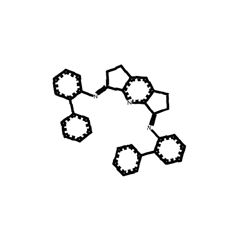 c1ccc(-c2ccccc2/N=C2\CCc3cc4c(nc32)/C(=N/c2ccccc2-c2ccccc2)CC4)cc1